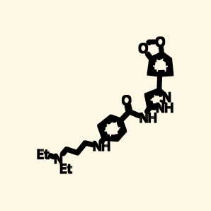 CCN(CC)CCCNc1ccc(C(=O)Nc2cc(-c3ccc4c(c3)OCO4)n[nH]2)cc1